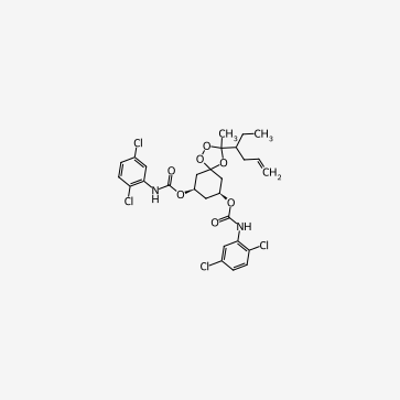 C=CCC(CC)C1(C)OOC2(C[C@H](OC(=O)Nc3cc(Cl)ccc3Cl)C[C@H](OC(=O)Nc3cc(Cl)ccc3Cl)C2)O1